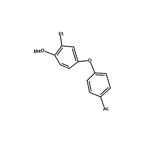 CCc1cc(Oc2ccc(C(C)=O)cc2)ccc1OC